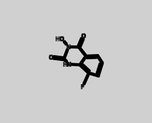 O=c1[nH]c2c(F)cccc2c(=O)n1O